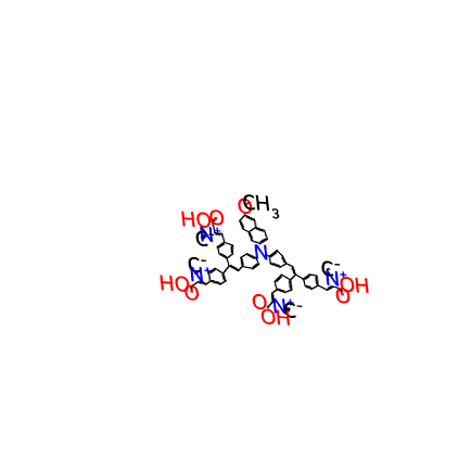 [C-]#[N+]/C(=C\c1ccc(C(=Cc2ccc(N(c3ccc(C=C(c4ccc(/C=C(\[N+]#[C-])C(=O)O)cc4)c4ccc(/C=C(\[N+]#[C-])C(=O)O)cc4)cc3)c3ccc4cc(OC)ccc4c3)cc2)c2ccc(/C=C(\[N+]#[C-])C(=O)O)cc2)cc1)C(=O)O